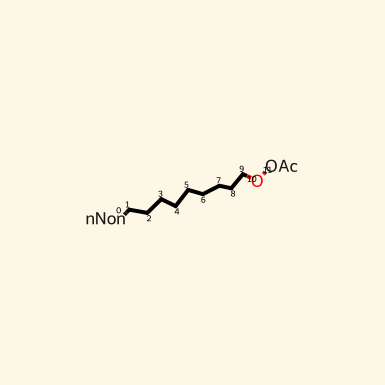 CCCCCCCCCCCCCCCCCCOOC(C)=O